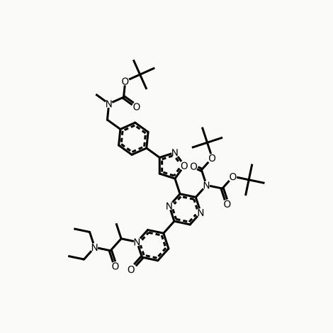 CCN(CC)C(=O)C(C)n1cc(-c2cnc(N(C(=O)OC(C)(C)C)C(=O)OC(C)(C)C)c(-c3cc(-c4ccc(CN(C)C(=O)OC(C)(C)C)cc4)no3)n2)ccc1=O